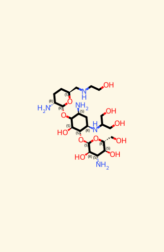 N[C@@H]1[C@@H](O)[C@@H](O[C@H]2[C@H](NC(CO)CO)C[C@H](N)C(O[C@H]3O[C@H](CNCCO)CC[C@H]3N)[C@@H]2O)O[C@H](CO)[C@H]1O